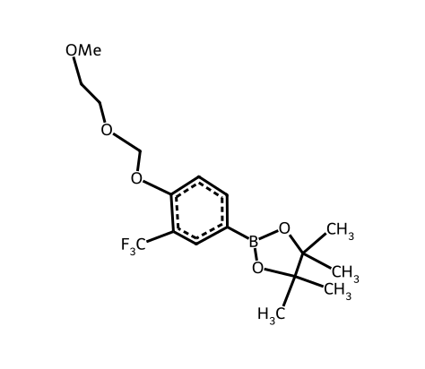 COCCOCOc1ccc(B2OC(C)(C)C(C)(C)O2)cc1C(F)(F)F